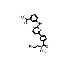 CC(O)c1cccc(Nc2nccc(-c3ccc(C(=O)N(C)CCO)s3)n2)c1